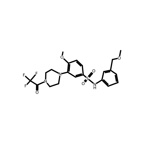 COCc1cccc(NS(=O)(=O)c2ccc(OC)c(N3CCN(C(=O)C(F)(F)F)CC3)c2)c1